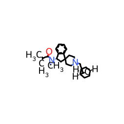 CC(C)C(=O)N(C)[C@H]1CC2(CCN(C[C@H]3C[C@H]4CC[C@H]3CC4)CC2)c2ccccc21